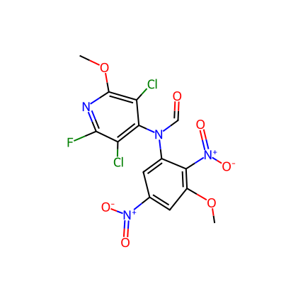 COc1cc([N+](=O)[O-])cc(N(C=O)c2c(Cl)c(F)nc(OC)c2Cl)c1[N+](=O)[O-]